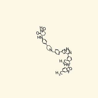 Cc1ccc(C(=O)NCc2ccc(-c3ncnn4cc(-c5ccc(CN6CCC(c7ccc(NC8CCC(=O)NC8=O)cc7)CC6)cc5)cc34)cc2C)c(F)c1